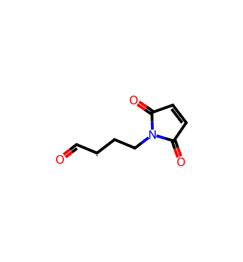 O=C[CH]CCN1C(=O)C=CC1=O